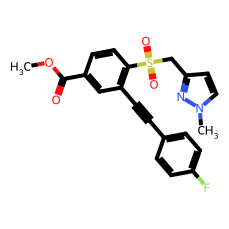 COC(=O)c1ccc(S(=O)(=O)Cc2ccn(C)n2)c(C#Cc2ccc(F)cc2)c1